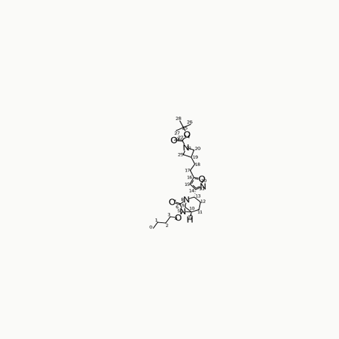 CCCCON1C(=O)N2C[C@@H]1CC[C@H]2c1cc(CCC2CN(C(=O)OC(C)(C)C)C2)on1